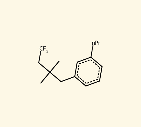 [CH2]CCc1cccc(CC(C)(C)CC(F)(F)F)c1